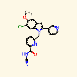 COc1cc2cc(-c3cccnc3)n(Cc3cccc(C(=O)NC#N)n3)c2cc1Cl